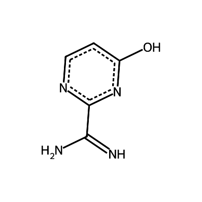 N=C(N)c1nccc(O)n1